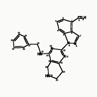 O=C(O)c1cccc2c1cnn2-c1nc2c(c(NCc3ccccc3)n1)CNCC2